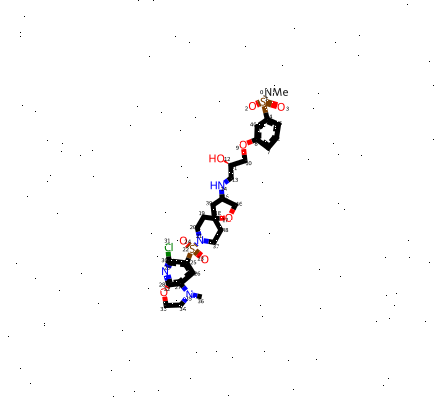 CNS(=O)(=O)c1cccc(OC[C@@H](O)CNC2COC3(CCN(S(=O)(=O)c4cc5c(nc4Cl)OCCN5C)CC3)C2)c1